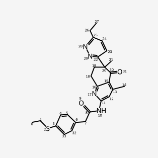 CCSc1ccc(CC(=O)Nc2cc(C)c3c(n2)CCC(C)(c2ccc(CC)nn2)C3=O)cc1